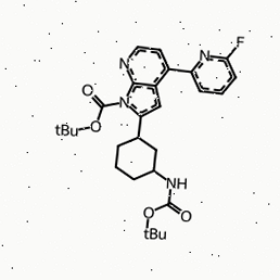 CC(C)(C)OC(=O)NC1CCCC(c2cc3c(-c4cccc(F)n4)ccnc3n2C(=O)OC(C)(C)C)C1